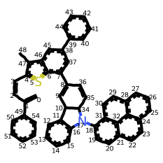 C=C(/C=C\c1sc2c(C3=CC4c5ccccc5N(c5ccc6ccc7cccc8ccc5c6c78)C4C=C3)cc(-c3ccccc3)cc2c1C)c1ccccc1